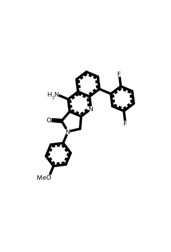 COc1ccc(N2Cc3nc4c(-c5cc(F)ccc5F)cccc4c(N)c3C2=O)cc1